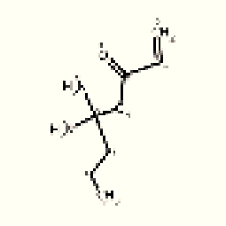 C=CC(=O)OC(N)(N)CCC